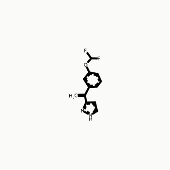 C=C(c1cccc(OC(F)F)c1)c1cc[nH]n1